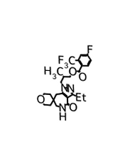 CCc1nn(C[C@@H](C)COC(=O)c2ccc(F)cc2C(F)(F)F)c2c1C(=O)NCC1(CCOCC1)C2